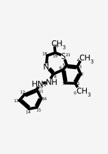 Cc1cc(C)c2c(c1)C(NNc1ccccc1)=NCC(C)S2